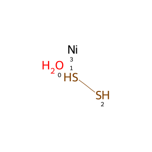 O.SS.[Ni]